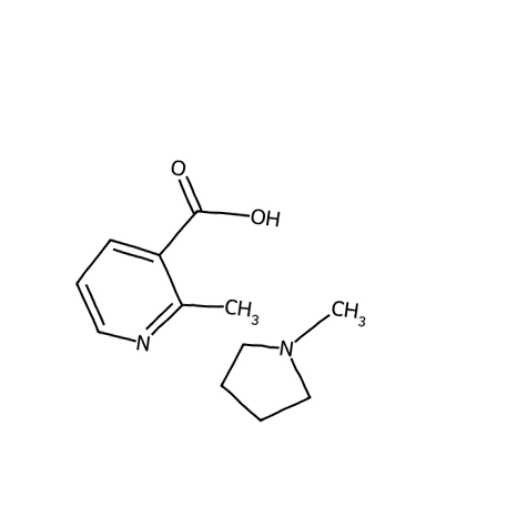 CN1CCCC1.Cc1ncccc1C(=O)O